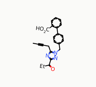 CC#CCc1nc(C(=O)CC)nn1Cc1ccc(-c2ccccc2C(=O)O)cc1